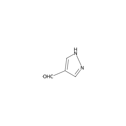 O=[C]c1cn[nH]c1